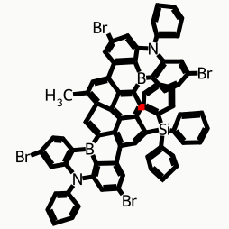 Cc1cc2c3c(cc4c([Si](c5ccccc5)(c5ccccc5)c5ccccc5)cc5c6c(cc1c3c46)B1c3ccc(Br)cc3N(c3ccccc3)c3cc(Br)cc-5c31)B1c3ccc(Br)cc3N(c3ccccc3)c3cc(Br)cc-2c31